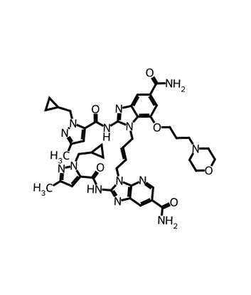 Cc1cc(C(=O)Nc2nc3cc(C(N)=O)cnc3n2CC=CCn2c(NC(=O)c3cc(C)nn3CC3CC3)nc3cc(C(N)=O)cc(OCCCN4CCOCC4)c32)n(CC2CC2)n1